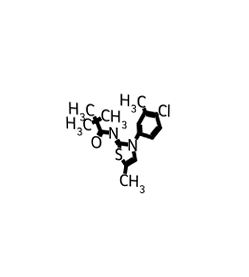 Cc1cn(-c2ccc(Cl)c(C)c2)c(=NC(=O)C(C)(C)C)s1